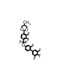 CC1COC(c2ccc(C(F)(F)Oc3ccc(-c4cc(F)c(F)c(F)c4)c(F)c3)c(F)c2F)OC1